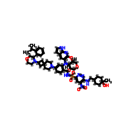 CC(C)c1ccccc1[C@@H]1COCCN1C1CC2(CCN(c3ccc(C(=O)NS(=O)(=O)c4cc([N+](=O)[O-])c(NCC5CCC(C)(O)CC5)nn4)c(N4c5cc6cc[nH]c6nc5O[C@H]5COCC[C@@H]54)c3)CC2)C1